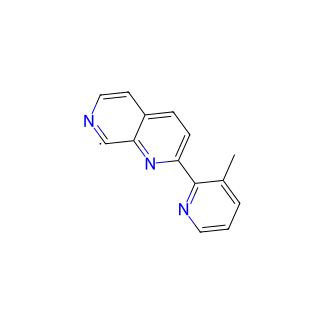 Cc1cccnc1-c1ccc2ccn[c]c2n1